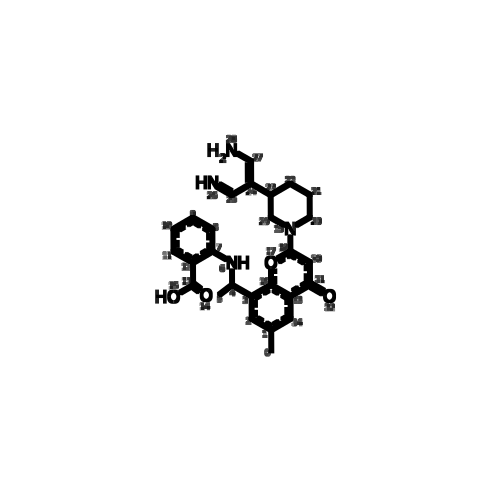 Cc1cc(C(C)Nc2ccccc2C(=O)O)c2oc(N3CCCC(/C(C=N)=C/N)C3)cc(=O)c2c1